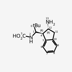 CC(C)(C)C(NC(=O)O)[C@@H]1c2ccccc2C[C@H]1N